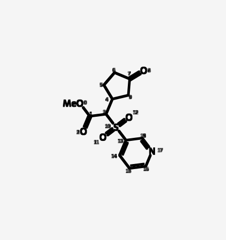 COC(=O)C(C1CCC(=O)C1)S(=O)(=O)c1cccnc1